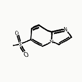 CS(=O)(=O)c1ccc2nccn2c1